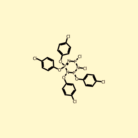 Clc1ccc(ON2P(Oc3ccc(Cl)cc3)N(Cl)P(Cl)N=P2(Oc2ccc(Cl)cc2)Oc2ccc(Cl)cc2)cc1